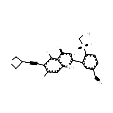 CCS(=O)(=O)c1ccc(C#N)cc1-c1cc(=O)c2c(F)c(C#CC3COC3)c(F)cc2[nH]1